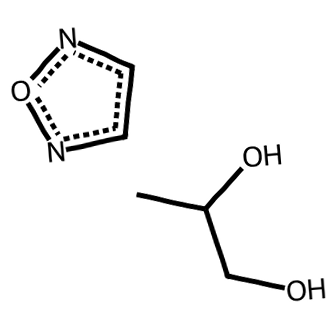 CC(O)CO.c1cnon1